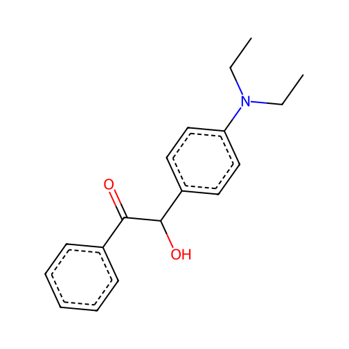 CCN(CC)c1ccc(C(O)C(=O)c2ccccc2)cc1